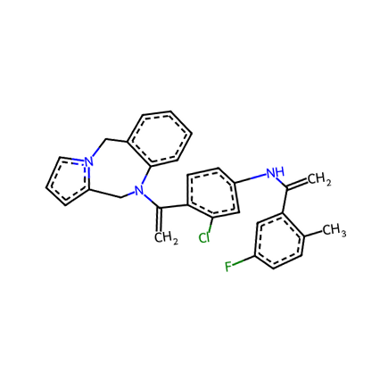 C=C(Nc1ccc(C(=C)N2Cc3cccn3Cc3ccccc32)c(Cl)c1)c1cc(F)ccc1C